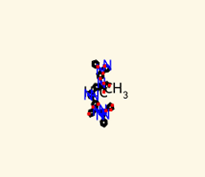 C=Cc1c(/C=C\C)n(-c2ccc3c(c2)c2ccncc2n3-c2ccccc2)c2ccc(-c3cncc(-c4ccc5c(c4)c4ccccc4n5-c4nc(-c5ccccc5)nc(-c5ccccc5)n4)n3)cc12